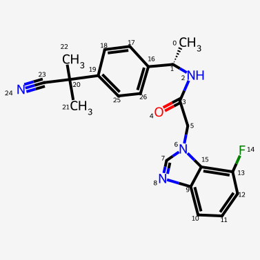 C[C@H](NC(=O)Cn1cnc2cccc(F)c21)c1ccc(C(C)(C)C#N)cc1